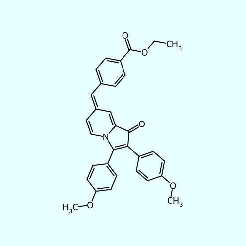 CCOC(=O)c1ccc(/C=C2/C=CN3C(=C2)C(=O)C(c2ccc(OC)cc2)=C3c2ccc(OC)cc2)cc1